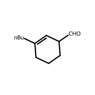 CCCCC1=CC(C=O)CCC1